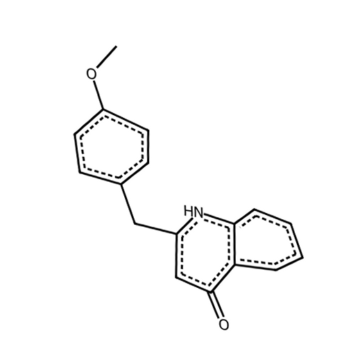 COc1ccc(Cc2cc(=O)c3ccccc3[nH]2)cc1